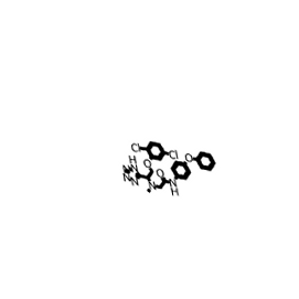 CN(CC(=O)Nc1ccc(Oc2ccccc2)cc1)C(COc1cc(Cl)ccc1Cl)c1nnn[nH]1